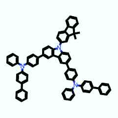 CC1(C)c2ccccc2-c2ccc(-n3c4ccc(-c5ccc(N(c6ccccc6)c6ccc(-c7ccccc7)cc6)cc5)cc4c4cc(-c5ccc(N(c6ccccc6)c6ccc(-c7ccccc7)cc6)cc5)ccc43)cc21